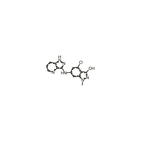 Cn1nc(O)c2c(Cl)cc(Nc3n[nH]c4cccnc34)cc21